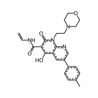 C=CNC(=O)c1c(O)c2cc(-c3ccc(C)cc3)cnc2n(CCN2CCOCC2)c1=O